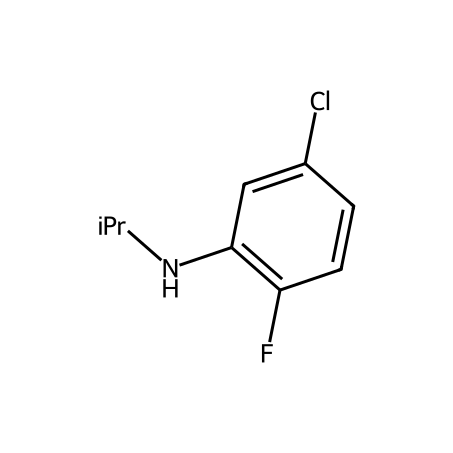 CC(C)Nc1cc(Cl)ccc1F